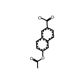 CC(=O)Oc1ccc2cc(C(=O)Cl)ccc2c1